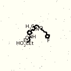 CCC(CC)(CC(=O)Nc1cccc(C=Cc2nc(OCCCCc3ccc(F)cc3)ccc2C)c1)C(=O)O